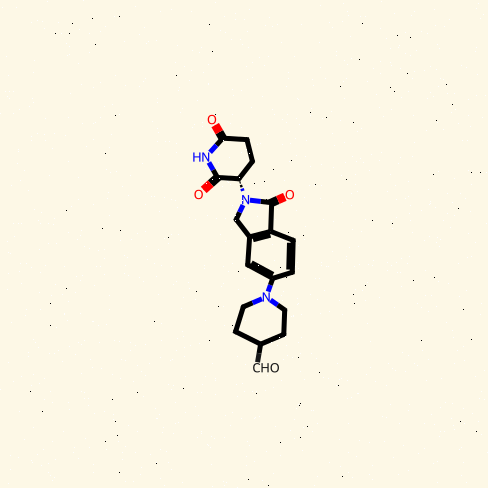 O=CC1CCN(c2ccc3c(c2)CN([C@H]2CCC(=O)NC2=O)C3=O)CC1